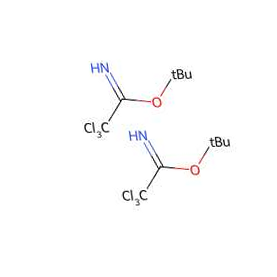 CC(C)(C)OC(=N)C(Cl)(Cl)Cl.CC(C)(C)OC(=N)C(Cl)(Cl)Cl